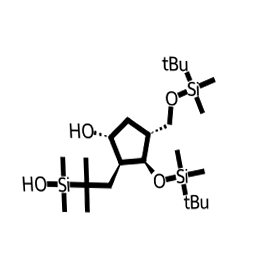 CC(C)(C[C@@H]1[C@H](O[Si](C)(C)C(C)(C)C)[C@@H](CO[Si](C)(C)C(C)(C)C)C[C@H]1O)[Si](C)(C)O